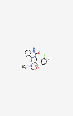 O=C(O)N1CCO[C@@H](c2ccc(Cl)c(F)c2)[C@H](Cn2c(=O)[nH]c3ccccc3c2=O)C1